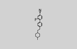 CC1CCC(CCc2ccc(-c3ccc(C#N)cc3F)cc2)CC1